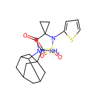 NC(=O)C12CC3CC(C1)C(NC(=O)C1(N(c4cccs4)[SH](=O)=O)CC1)C(C3)C2